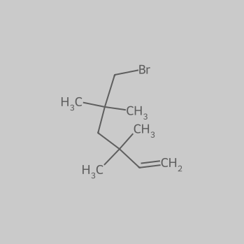 C=CC(C)(C)CC(C)(C)CBr